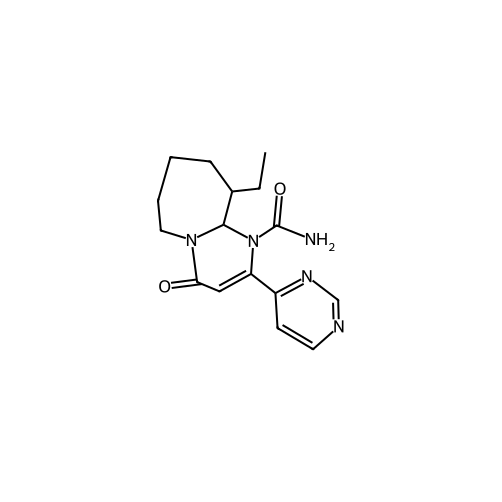 CCC1CCCCN2C(=O)C=C(c3ccncn3)N(C(N)=O)C12